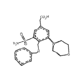 NS(=O)(=O)c1cc(C(=O)O)cc(N2CCOCC2)c1Oc1ccccc1